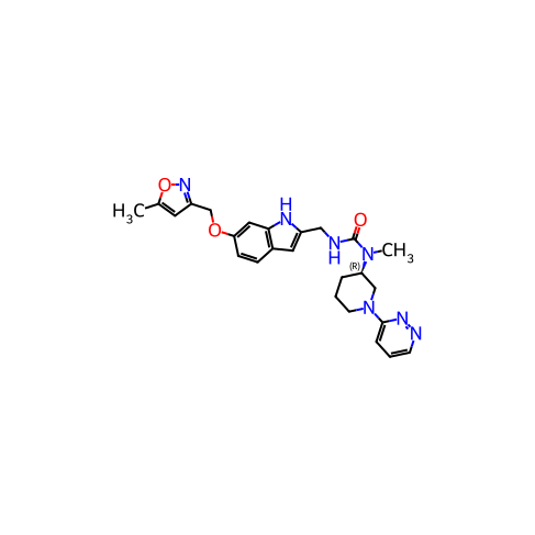 Cc1cc(COc2ccc3cc(CNC(=O)N(C)[C@@H]4CCCN(c5cccnn5)C4)[nH]c3c2)no1